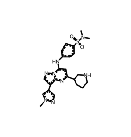 CN(C)S(=O)(=O)c1ccc(Nc2cc(C3CCCNC3)nc3c(-c4cnn(C)c4)cnn23)cc1